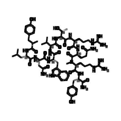 CC(C)C[C@H](NC(=O)C(C)Cc1ccc(O)cc1)C(=O)N[C@@H](CC(N)=O)C(=O)N[C@@H](Cc1c[nH]c2ccccc12)C(=O)N[C@H](C(=O)N[C@H](C(=O)N[C@@H](CCCNC(=N)N)C(=O)N[C@@H](CCC(N)=O)C(=O)N(C)[C@@H](CCCNC(=N)N)C(=O)N[C@@H](Cc1ccc(O)cc1)C(N)=O)[C@@H](C)O)C(C)C